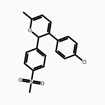 CC1=CC=C(c2ccc(Cl)cc2)C(c2ccc(S(C)(=O)=O)cc2)O1